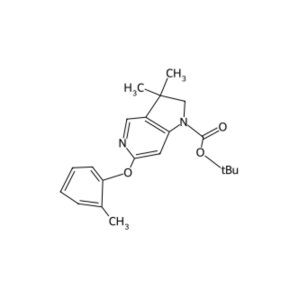 Cc1ccccc1Oc1cc2c(cn1)C(C)(C)CN2C(=O)OC(C)(C)C